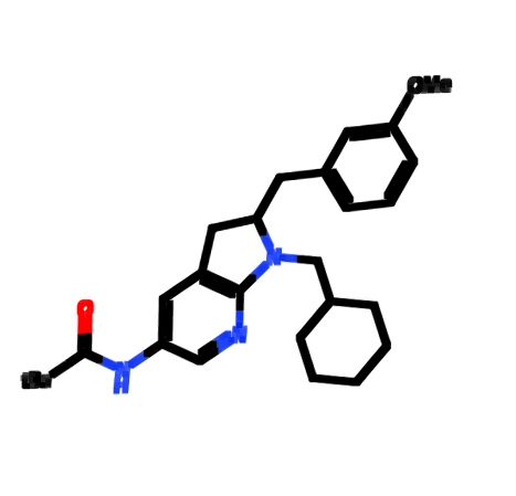 COc1cccc(CC2Cc3cc(NC(=O)C(C)(C)C)cnc3N2CC2CCCCC2)c1